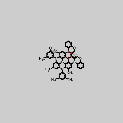 Cc1cc(C)cc(N2c3cc(C)cc4c3B(c3c5c(cc(C)c32)B2c3ccccc3Oc3cccc(c32)O5)c2c3c(cc(C)c2N4c2cc(C)cc(C)c2)B2c4ccccc4Oc4cccc(c42)O3)c1